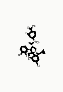 O=C(O)c1ccc(N(O)C(=O)[C@@H]2CN(CC3CC3)[C@@]3(C(=O)Nc4cc(Cl)ccc43)[C@H]2c2cccc(Br)c2F)cc1F